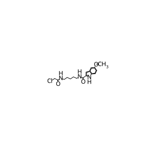 COc1ccc2[nH]c(C(=O)NCCCCCNC(=O)CCl)cc2c1